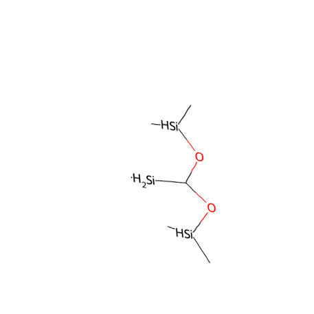 C[SiH](C)OC([SiH2])O[SiH](C)C